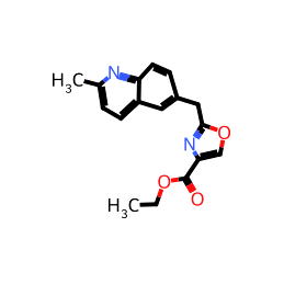 CCOC(=O)c1coc(Cc2ccc3nc(C)ccc3c2)n1